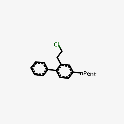 CCCCCc1ccc(-c2ccccc2)c(CCCl)c1